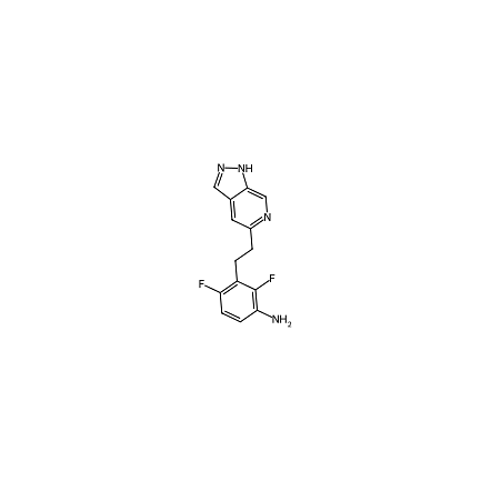 Nc1ccc(F)c(CCc2cc3cn[nH]c3cn2)c1F